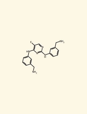 NCc1cccc(Nc2ncc(F)c(Nc3cccc(CN)c3)n2)c1